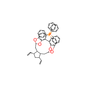 C=CC1C[C@@H](C=C)C2CC3Oc4ccc(P(c5ccccc5)c5ccccc5)c(c4O3)-c3c(P(c4ccccc4)c4ccccc4)ccc4c3OC(CC12)O4